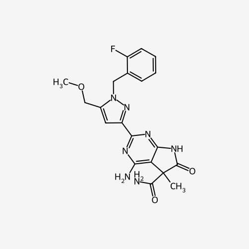 COCc1cc(-c2nc(N)c3c(n2)NC(=O)C3(C)C(N)=O)nn1Cc1ccccc1F